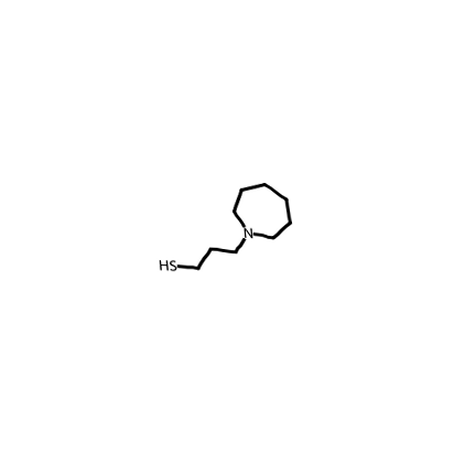 SCCCN1CCCCCC1